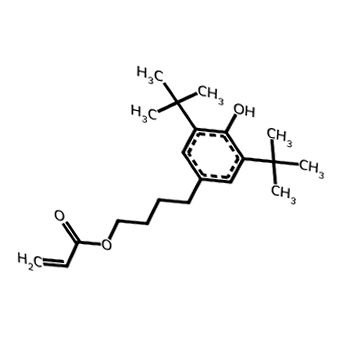 C=CC(=O)OCCCCc1cc(C(C)(C)C)c(O)c(C(C)(C)C)c1